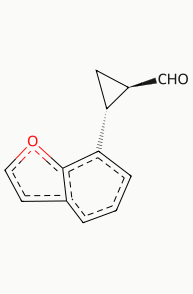 O=C[C@@H]1C[C@H]1c1cccc2ccoc12